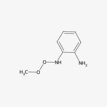 COONc1ccccc1N